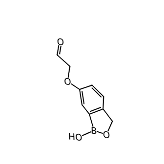 O=CCOc1ccc2c(c1)B(O)OC2